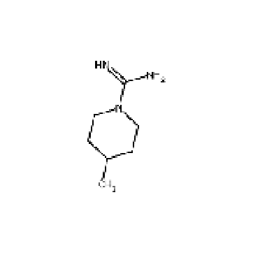 CC1CCN(C(=N)N)CC1